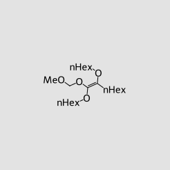 CCCCCCOC(CCCCCC)=C(OCCCCCC)OCOC